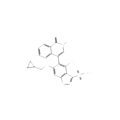 Cc1c(-c2cn(C)c(=O)c3ccccc23)c(OCC2CC2)cc2[nH]nc(S(C)(=O)=O)c12